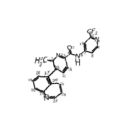 CC1N=C(C(=O)Nc2ccnc(C(F)(F)F)c2)C=CC1c1cccc2ncccc12